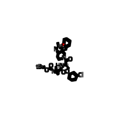 CN1N=C2CCN(C(=O)[C@@H](COc3cccc(Cl)c3)NC(=O)C(C)(C)NC(=O)OC(C)(C)C)C[C@@]2(Cc2ccccc2)C1=O